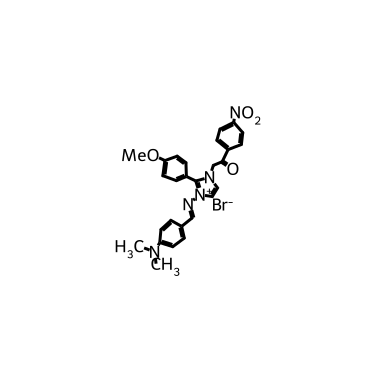 COc1ccc(-c2n(CC(=O)c3ccc([N+](=O)[O-])cc3)cc[n+]2N=Cc2ccc(N(C)C)cc2)cc1.[Br-]